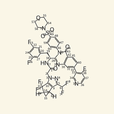 O=C(Cn1nc(C(F)F)c2c1C(F)(F)[C@H]1C[C@@H]21)N[C@@H](Cc1cc(F)cc(F)c1)c1nc2cc(-c3cnccc3F)ccc2c(=O)n1-c1ccc(S(=O)(=O)N2CCOCC2)cc1